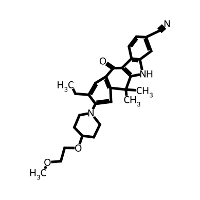 CCc1cc2c(cc1N1CCC(OCCOC)CC1)C(C)(C)c1[nH]c3cc(C#N)ccc3c1C2=O